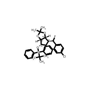 CC1(C)O[C@@H]2[C@H](O1)[C@@H](C(F)c1ccc(Cl)cc1)C[C@@H]2O[Si](c1ccccc1)(c1ccccc1)C(C)(C)C